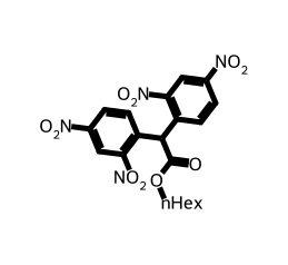 CCCCCCOC(=O)C(c1ccc([N+](=O)[O-])cc1[N+](=O)[O-])c1ccc([N+](=O)[O-])cc1[N+](=O)[O-]